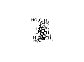 C=C(C)[C@@H]1CC[C@]2(C)CC[C@]3(C)[C@H](CC[C@@H]4[C@@]5(C)CC=C(CCCC(C)(C)C(=O)O)C(C)(C)[C@@H]5CC[C@]43C)[C@@H]12